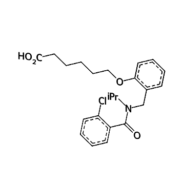 CC(C)N(Cc1ccccc1OCCCCCC(=O)O)C(=O)c1ccccc1Cl